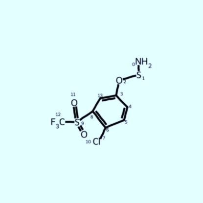 NSOc1ccc(Cl)c(S(=O)(=O)C(F)(F)F)c1